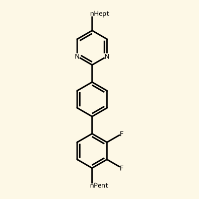 CCCCCCCc1cnc(-c2ccc(-c3ccc(CCCCC)c(F)c3F)cc2)nc1